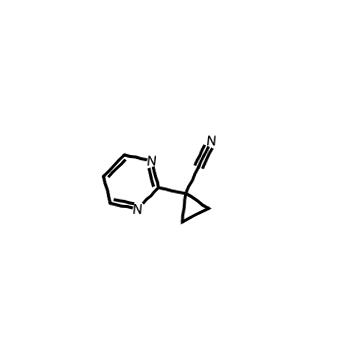 N#CC1(c2ncccn2)CC1